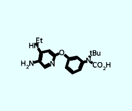 CCNc1cc(Oc2cccc(N(C(=O)O)C(C)(C)C)c2)ncc1N